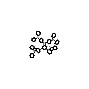 c1ccc(N(c2ccccc2)c2ccc(N(c3ccc(N(c4ccccc4)c4ccccc4)cc3)c3cc(-c4ccc5c(c4)c4ccccc4n5-c4ccccc4)cc(-c4cccc5c4sc4ccccc45)c3)cc2)cc1